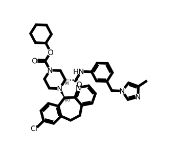 Cc1cn(Cc2cccc(NC(=O)[C@H]3CN(C(=O)OC4CCCCC4)CCN3[C@@H]3c4ccc(Cl)cc4CCc4cccnc43)c2)cn1